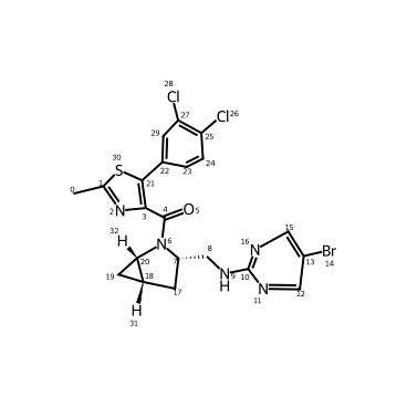 Cc1nc(C(=O)N2[C@H](CNc3ncc(Br)cn3)C[C@@H]3C[C@@H]32)c(-c2ccc(Cl)c(Cl)c2)s1